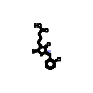 O=C(O)CCCN1C(=O)/C(=C/c2ccccc2Cl)SC1=S